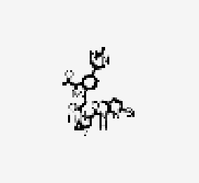 CC(=O)c1nn(CC(=O)N2C(C(=O)Nc3nc(Br)ccc3C)C[C@@]3(C)C[C@@H]23)c2ccc(-c3cnc(C)nc3)cc12